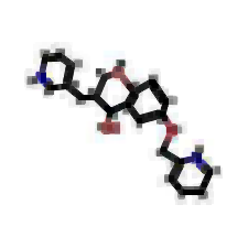 OC1c2cc(OCc3ccccn3)ccc2OCC1Cc1cccnc1